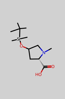 CN1CC(O[Si](C)(C)C(C)(C)C)C[C@H]1C(=O)O